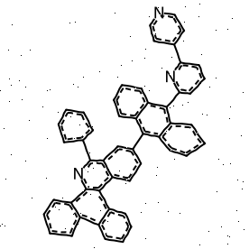 c1ccc(-c2nc3c4ccccc4c4ccccc4c3c3ccc(-c4c5ccccc5c(-c5cccc(-c6ccncc6)n5)c5ccccc45)cc23)cc1